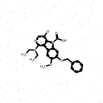 CCN(CC)c1ncc(Cl)c2c1c1cc(OC)c(OCc3ccccc3)cc1n2C(=O)O